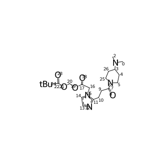 CN(C)C1CCN(C(=O)CCc2nccn2CC(=O)OCOC(=O)C(C)(C)C)CC1